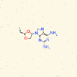 CC[C@@H]1OCC(n2cnc3c(N)nc(N)nc32)O1